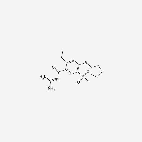 CCc1cc(SC2CCCC2)c(S(C)(=O)=O)cc1C(=O)N=C(N)N